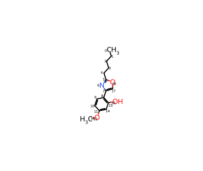 CCCCCc1nc(-c2ccc(OC)cc2O)co1